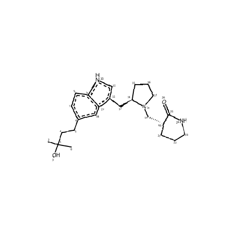 CC(C)(O)CCc1ccc2[nH]cc(C[C@H]3CCCN3C[C@H]3CCCNC3=O)c2c1